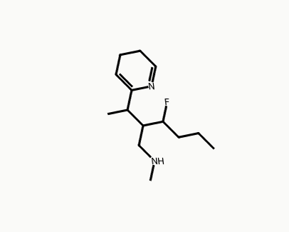 CCCC(F)C(CNC)C(C)C1=CCCC=N1